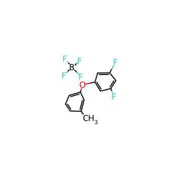 Cc1cccc(Oc2cc(F)cc(F)c2)c1.F[B-](F)(F)F